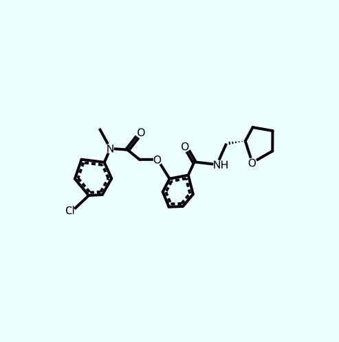 CN(C(=O)COc1ccccc1C(=O)NC[C@@H]1CCCO1)c1ccc(Cl)cc1